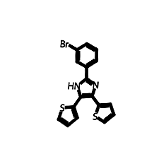 Brc1cccc(-c2nc(-c3cccs3)c(-c3cccs3)[nH]2)c1